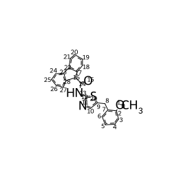 COc1ccccc1Cc1cnc(NC(=O)C2c3ccccc3-c3ccccc32)s1